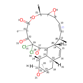 C[C@@H]1C(=O)O[C@@H](C)C2OC2/C=C\[C@@H](C)[C@@H]2C=C[C@@H]3C[C@@]4(C)O[C@H]4[C@@H](C)C3C2C(=O)C(Cl)(Cl)C1=O